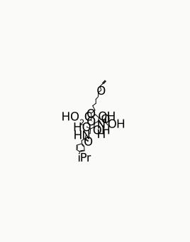 C#CCOCCCCCCO[C@]1(C(=O)O)C[C@H](O)[C@@H](NC(=O)CO)[C@H]([C@H](O)[C@H](O)CNC(=O)Cc2ccc(C(C)C)cc2)O1